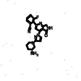 N#Cc1cccc(F)c1-c1cc(-n2ccc(N3CCC[C@@H](N)C3)n2)c2c(n1)CNC2=O